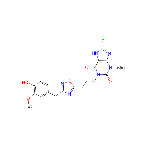 CCCCn1c(=O)n(CCCc2nc(Cc3ccc(O)c(OCC)c3)no2)c(=O)c2[nH]c(Cl)nc21